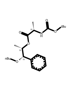 CCCCO[C@@H](c1ccccc1)[C@H](C)OC(=O)[C@H](C)NC(=O)OC(C)(C)C